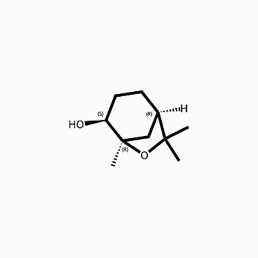 CC1(C)O[C@]2(C)C[C@H]1CC[C@@H]2O